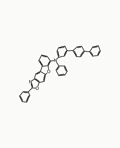 c1ccc(-c2ccc(-c3cccc(N(c4ccccc4)c4cccc5c4oc4cc6oc(-c7ccccc7)nc6cc45)c3)cc2)cc1